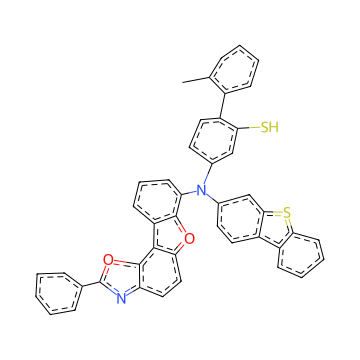 Cc1ccccc1-c1ccc(N(c2ccc3c(c2)sc2ccccc23)c2cccc3c2oc2ccc4nc(-c5ccccc5)oc4c23)cc1S